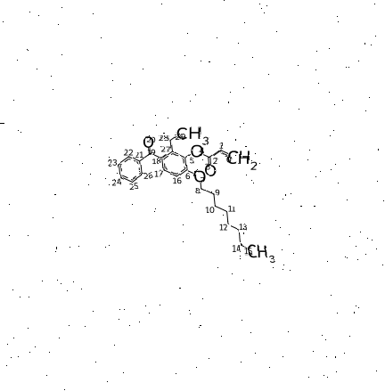 C=CC(=O)Oc1c(OCCCCCCCC)ccc(C(=O)c2ccccc2)c1CC